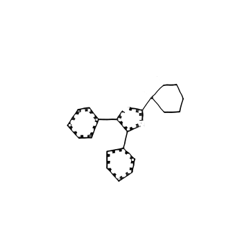 O[C@@H]1CCCC[C@@]1(O)c1nc(-c2ccccc2)c(-c2ccccc2)o1